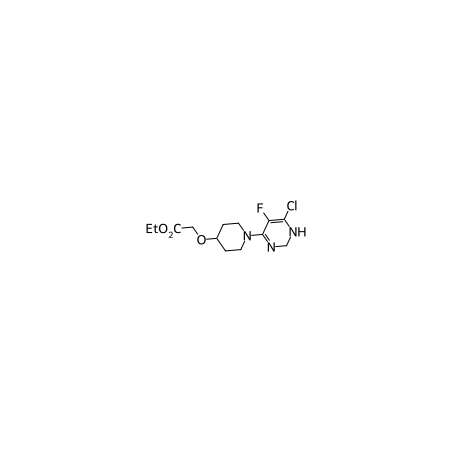 CCOC(=O)COC1CCN(C2=NCNC(Cl)=C2F)CC1